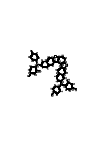 Cc1ccc(N(c2ccc3cc4c(cc3c2)oc2ccc3oc5cc6cc(N(c7ccc(C)cc7)c7ccc(C)cc7C)ccc6cc5c3c24)c2ccc(C)cc2C)cc1